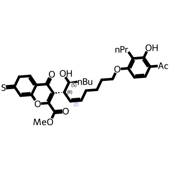 CCCC[C@H](O)[C@H](/C=C\CCCCOc1ccc(C(C)=O)c(O)c1CCC)c1c(C(=O)OC)oc2c(c1=O)=CCC(=S)C=2